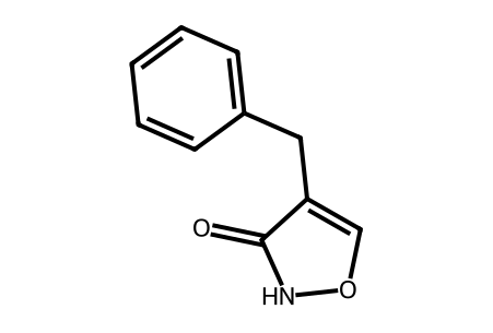 O=c1[nH]occ1Cc1ccccc1